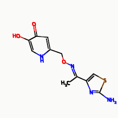 C/C(=N\OCc1cc(=O)c(O)c[nH]1)c1csc(N)n1